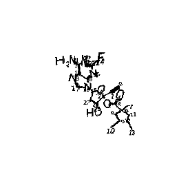 C#C[C@]1(OC(=O)C(C)(CCC)CCC)O[C@@H](n2cnc3c(N)nc(F)nc32)C[C@@H]1O